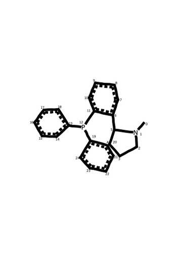 CN1CCCC1c1ccccc1P(c1ccccc1)c1ccccc1